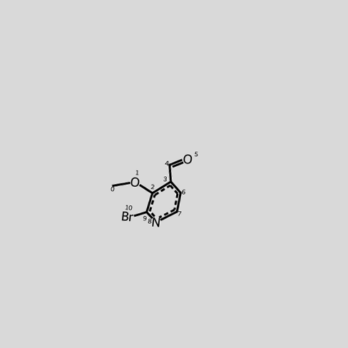 COc1c(C=O)ccnc1Br